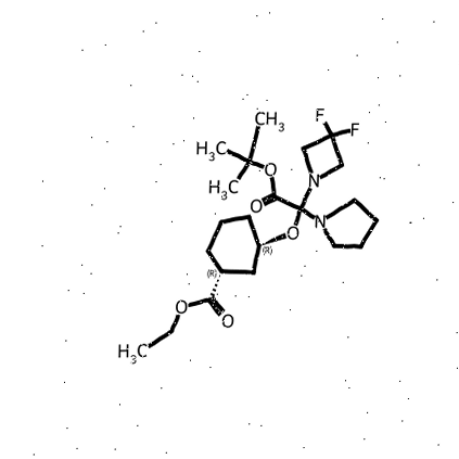 CCOC(=O)[C@@H]1CCC[C@@H](OC(C(=O)OC(C)(C)C)(N2CCCC2)N2CC(F)(F)C2)C1